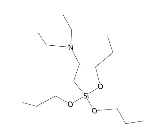 CCCO[Si](CCN(CC)CC)(OCCC)OCCC